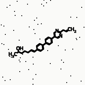 C=CCc1ncc(-c2ccc(-c3ccc(C=CCCCC(C)O)cc3)cc2)cn1